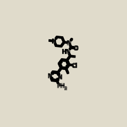 Cc1c(-c2cncc(P)n2)ccc(C(C)NC(=O)N(C)C2CCN(C)CC2)c1Cl